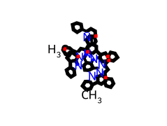 Cc1ccc2c(c1)c1ccccc1n2-c1cc(-n2c3ccccc3c3cc(C)ccc32)c(-c2nc(-c3ccccc3)cc(-c3ccccc3)n2)c(-n2c3ccccc3c3cc(-c4cccc(-c5ccccc5)n4)ccc32)c1-c1nc(-c2ccccc2)cc(-c2ccccc2)n1